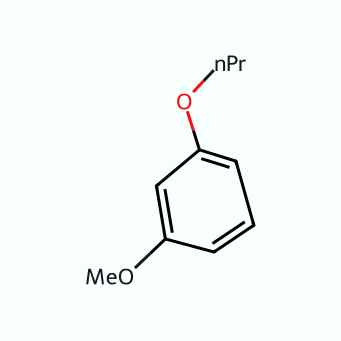 [CH2]CCOc1cccc(OC)c1